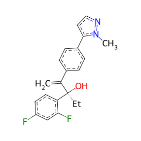 C=C(c1ccc(-c2ccnn2C)cc1)[C@](O)(CC)c1ccc(F)cc1F